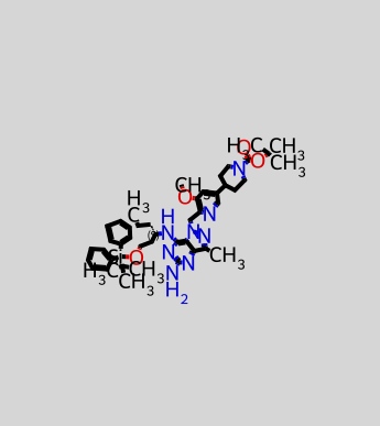 CCC[C@@H](CCO[Si](c1ccccc1)(c1ccccc1)C(C)(C)C)Nc1nc(N)nc2c(C)nn(Cc3ncc(C4CCN(C(=O)OC(C)(C)C)CC4)cc3OC)c12